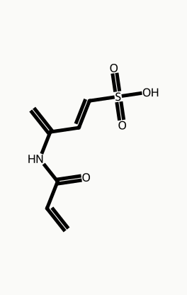 C=CC(=O)NC(=C)C=CS(=O)(=O)O